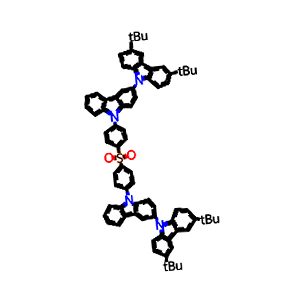 CC(C)(C)c1ccc2c(c1)c1cc(C(C)(C)C)ccc1n2-c1ccc2c(c1)c1ccccc1n2-c1ccc(S(=O)(=O)c2ccc(-n3c4ccccc4c4cc(-n5c6ccc(C(C)(C)C)cc6c6cc(C(C)(C)C)ccc65)ccc43)cc2)cc1